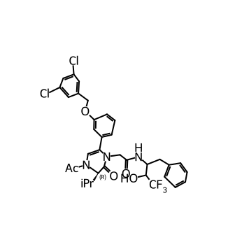 CC(=O)N1C=C(c2cccc(OCc3cc(Cl)cc(Cl)c3)c2)N(CC(=O)NC(Cc2ccccc2)C(O)C(F)(F)F)C(=O)[C@H]1C(C)C